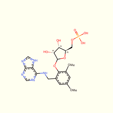 COc1cc(CNc2ncnc3nc[nH]c23)c(OC2O[C@H](COP(=O)(O)O)[C@@H](O)[C@H]2O)c(OC)c1